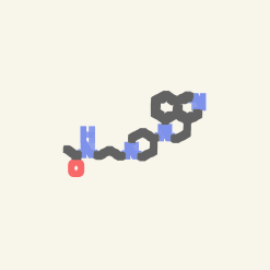 CC(=O)NCCCN1CCC(N2CCc3cncc4cccc2c34)CC1